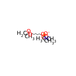 C=C(C)C(=O)OCCCCCCOP(=O)([O-])O[N+](C)(C)C